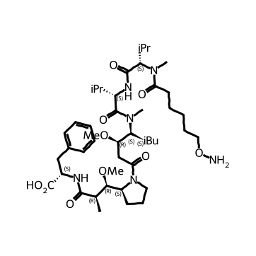 CC[C@H](C)[C@@H]([C@@H](CC(=O)N1CCC[C@H]1[C@H](OC)[C@@H](C)C(=O)N[C@@H](Cc1ccccc1)C(=O)O)OC)N(C)C(=O)[C@@H](NC(=O)[C@H](C(C)C)N(C)C(=O)CCCCCON)C(C)C